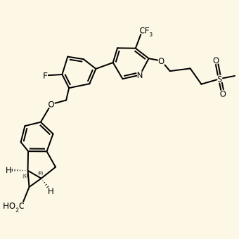 CS(=O)(=O)CCCOc1ncc(-c2ccc(F)c(COc3ccc4c(c3)C[C@H]3C(C(=O)O)[C@@H]43)c2)cc1C(F)(F)F